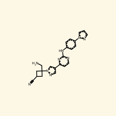 N#CC1CC(CN)(n2cc(-c3ccnc(Nc4ccc(-n5cccn5)cc4)n3)cn2)C1